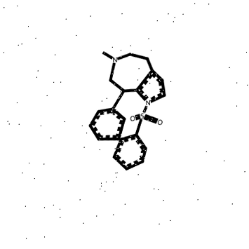 CN1CCc2ccn(S(=O)(=O)c3ccccc3)c2C(c2ccccc2)C1